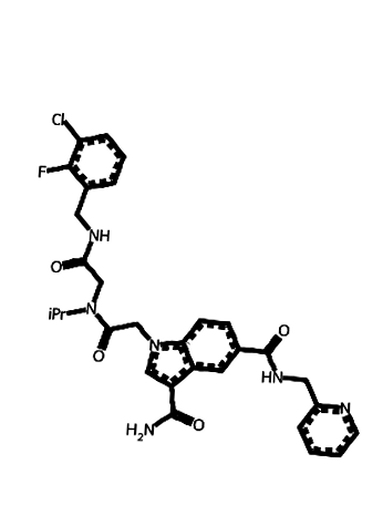 CC(C)N(CC(=O)NCc1cccc(Cl)c1F)C(=O)Cn1cc(C(N)=O)c2cc(C(=O)NCc3ccccn3)ccc21